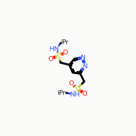 CC(C)NS(=O)(=O)Cc1cnnc(CS(=O)(=O)NC(C)C)c1